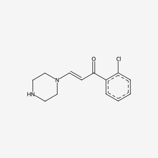 O=C(C=CN1CCNCC1)c1ccccc1Cl